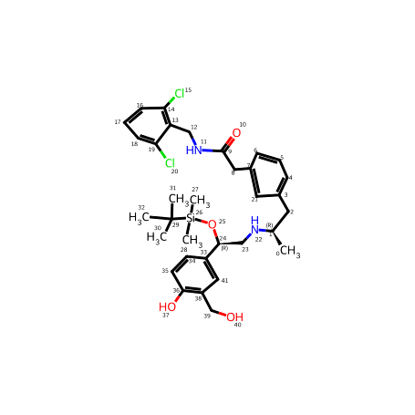 C[C@H](Cc1cccc(CC(=O)NCc2c(Cl)cccc2Cl)c1)NC[C@H](O[Si](C)(C)C(C)(C)C)c1ccc(O)c(CO)c1